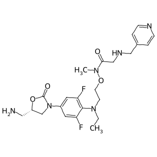 CCN(CCON(C)C(=O)CNCc1ccncc1)c1c(F)cc(N2C[C@H](CN)OC2=O)cc1F